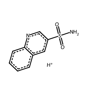 NS(=O)(=O)c1cnc2ccccc2c1.[H+]